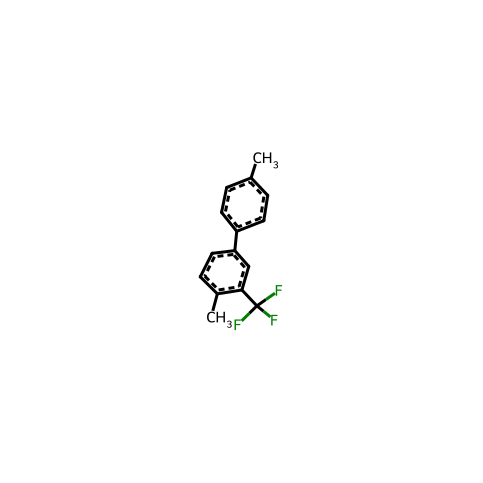 Cc1ccc(-c2ccc(C)c(C(F)(F)F)c2)cc1